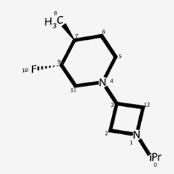 CC(C)N1CC(N2CC[C@H](C)[C@@H](F)C2)C1